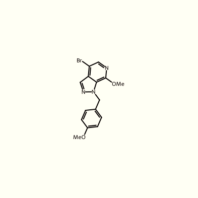 COc1ccc(Cn2ncc3c(Br)cnc(OC)c32)cc1